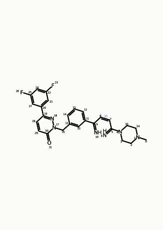 CN1CCN(C(=N)/C=C\C(=N)c2cccc(Cn3nc(-c4cc(F)cc(F)c4)ccc3=O)c2)CC1